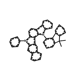 CC1(C)c2ccccc2-c2c(-n3c4ccccc4c4ccc5c(c6cc7ccccc7cc6n5-c5ccccc5)c43)cccc21